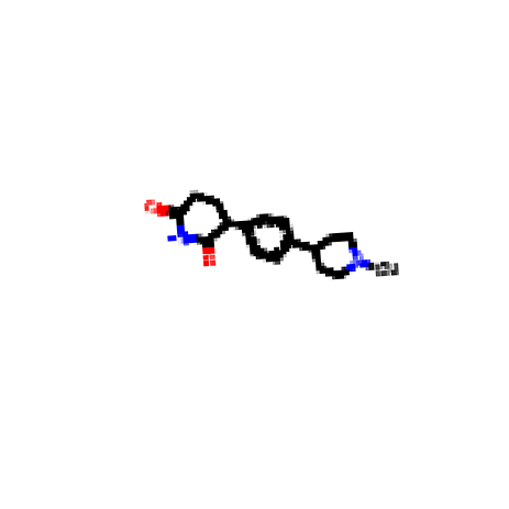 CC(C)(C)N1CCC(c2ccc(C3CCC(=O)NC3=O)cc2)CC1